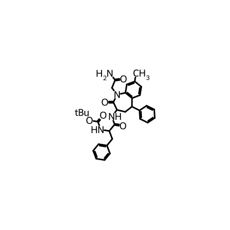 Cc1ccc2c(c1)N(CC(N)=O)C(=O)C(NC(=O)C(Cc1ccccc1)NC(=O)OC(C)(C)C)CC2c1ccccc1